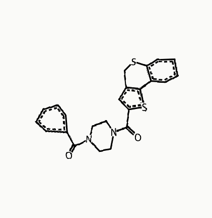 O=C(c1ccccc1)N1CCN(C(=O)c2cc3c(s2)-c2ccccc2SC3)CC1